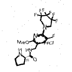 COc1nc(N2CC(F)(F)C(F)(F)C(F)(F)C2)c(F)cc1CNC(=O)[C@@H]1CCCN1.Cl